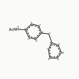 CC(=O)Nc1ccc(Cc2ccccc2)cc1